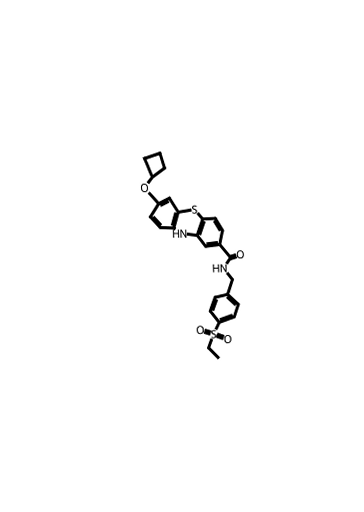 CCS(=O)(=O)c1ccc(CNC(=O)c2ccc3c(c2)Nc2ccc(OC4CCC4)cc2S3)cc1